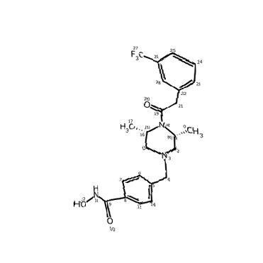 C[C@@H]1CN(Cc2ccc(C(=O)NO)cc2)C[C@H](C)N1C(=O)Cc1cccc(C(F)(F)F)c1